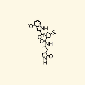 COc1cccc2[nH]c(C(=O)N3CC(SC)CC3C(=O)NC(C)CC3CCNC3=O)cc12